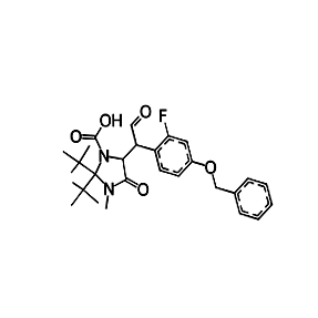 CN1C(=O)C(C(C=O)c2ccc(OCc3ccccc3)cc2F)N(C(=O)O)C1(C(C)(C)C)C(C)(C)C